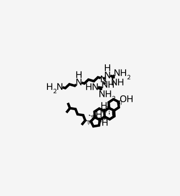 CC(C)CCCC(C)[C@H]1CC[C@H]2[C@@H]3CC=C4C[C@@H](O)CC[C@]4(C)[C@H]3CC[C@]12C.N=C(N)NN(CCCCNCCCN)NC(=N)N